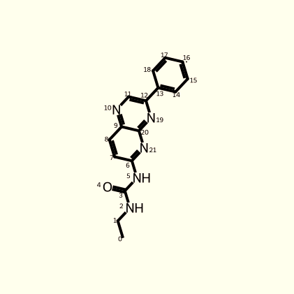 CCNC(=O)Nc1ccc2ncc(-c3cc[c]cc3)nc2n1